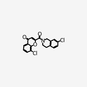 O=C(c1cc(=O)c2cccc(Cl)c2o1)N1CCc2ccc(Cl)cc2C1